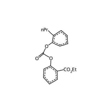 CCCc1ccccc1OC(=O)Oc1ccccc1C(=O)OCC